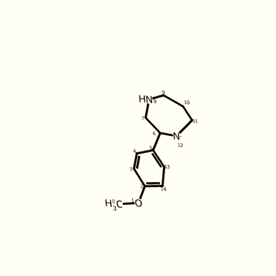 COc1ccc(C2CNCCC[N]2)cc1